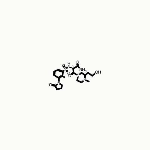 Cc1c(N2CCCC2=O)cccc1S(=O)(=O)N[C@@H](C(N)=O)C(=O)N1CCN(C)C(CCO)C1